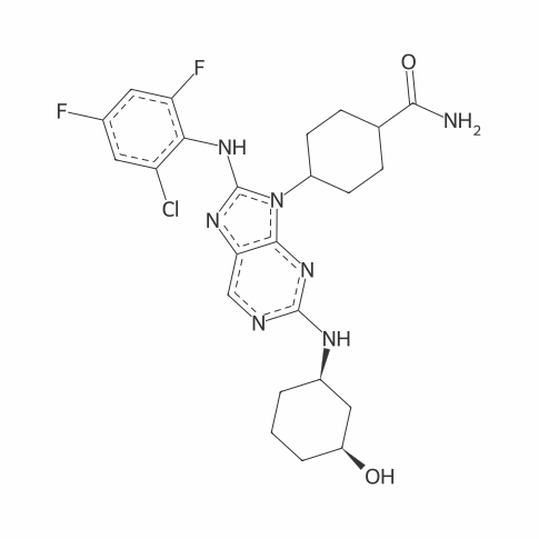 NC(=O)C1CCC(n2c(Nc3c(F)cc(F)cc3Cl)nc3cnc(N[C@@H]4CCC[C@H](O)C4)nc32)CC1